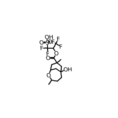 CC1CCC2(O)CC(CC(C)(C(=O)OC(C(F)(F)F)C(F)(F)S(=O)(=O)O)C2)O1